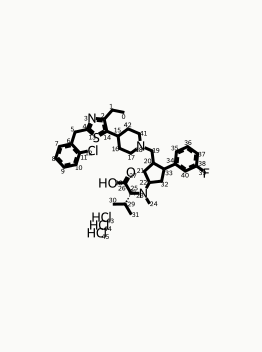 CCc1nc(Cc2ccccc2Cl)sc1C1CCN(CC2CC(N(C)[C@@H](C(=O)O)C(C)C)CC2c2cccc(F)c2)CC1.Cl.Cl.Cl